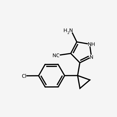 N#Cc1c(C2(c3ccc(Cl)cc3)CC2)n[nH]c1N